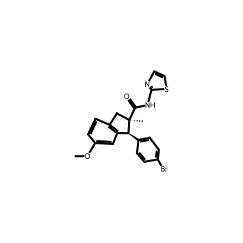 COc1ccc2c(c1)[C@H](c1ccc(Br)cc1)[C@](C)(C(=O)Nc1nccs1)C2